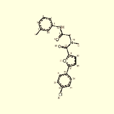 Cc1cccc(NC(=O)CN(C)C(=O)c2ccc(-c3ccc(Cl)cc3)o2)c1